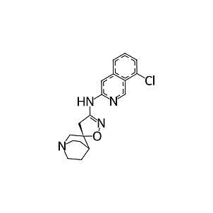 Clc1cccc2cc(NC3=NO[C@@]4(C3)CN3CCC4CC3)ncc12